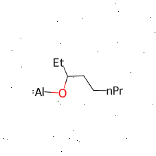 CCCCCC(CC)[O][Al]